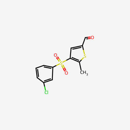 Cc1sc(C=O)cc1S(=O)(=O)c1cccc(Cl)c1